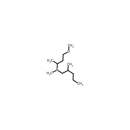 CCCC(C)CN(C)C(C)CCOC